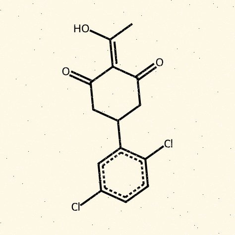 CC(O)=C1C(=O)CC(c2cc(Cl)ccc2Cl)CC1=O